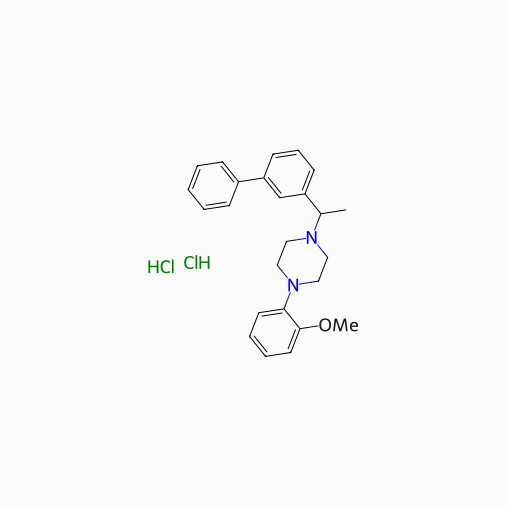 COc1ccccc1N1CCN(C(C)c2cccc(-c3ccccc3)c2)CC1.Cl.Cl